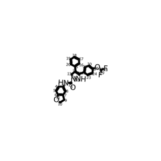 O=C(Nc1ccc2c(c1)CCO2)N1CC(c2ccccc2)=C(c2ccc(OC(F)F)cc2)N1